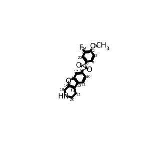 COc1ccc(S(=O)(=O)c2ccc3c4c(oc3c2)CNCC4)cc1F